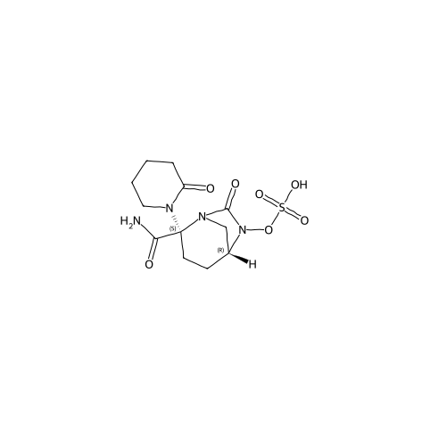 NC(=O)[C@]1(N2CCCCC2=O)CC[C@@H]2CN1C(=O)N2OS(=O)(=O)O